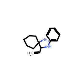 C=CC(Nc1ccccc1)C1(N)CCCCC1